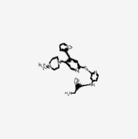 CN1CCN(c2cnc(Sc3cc(NC(=O)CN)ccn3)cc2-c2ccco2)CC1